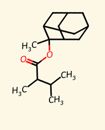 CC(C)C(C)C(=O)OC1(C)C2CC3CC(C2)CC1C3